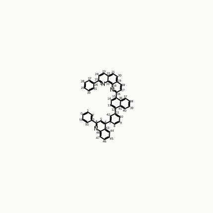 c1ccc(-c2cc(-c3cccc(-c4ccc(-c5ccc6ccc7ccc(-c8ccccc8)nc7c6n5)c5ccccc45)c3)c3ccccc3n2)cc1